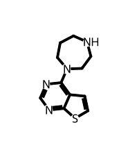 c1nc(N2CCCNCC2)c2ccsc2n1